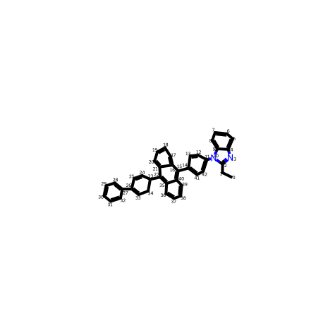 CCc1nc2ccccc2n1-c1ccc(-c2c3ccccc3c(C3C=CC(c4ccccc4)=CC3)c3ccccc23)cc1